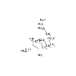 CC(=O)O.CC(=O)O.CC(=O)O.CC(=O)O.NCCN.O.O.[NaH].[NaH]